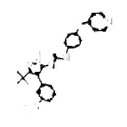 CC(C)(C)c1n[nH]c(NC(=O)Nc2ccc(Sc3ccncc3)cc2)c1-c1cccc(N)c1